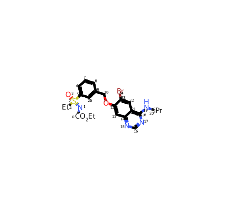 CCOC(=O)N=S(=O)(CC)c1cccc(COc2cc3ncnc(NC(C)C)c3cc2Br)c1